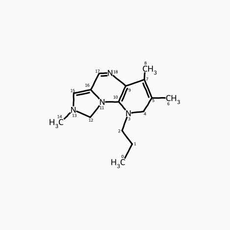 CCCN1CC(C)=C(C)C2=C1N1CN(C)C=C1C=N2